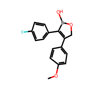 COc1ccc(C2=C(c3ccc(F)cc3)B(O)OC2)cc1